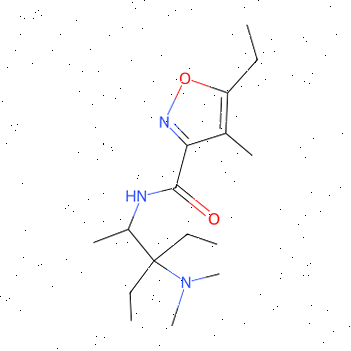 CCc1onc(C(=O)NC(C)C(CC)(CC)N(C)C)c1C